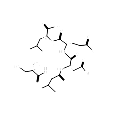 CC(C)C[C@H](NC(=O)[C@H](CCC(=O)O)NC(=O)[C@H](CC(N)=O)NC(=O)[C@@H](NC(=O)[C@@H](N)CS)C(C)C)C(=O)O